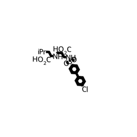 CC(C)C[C@H](NC(CCNS(=O)(=O)c1ccc(-c2ccc(Cl)cc2)cc1)C(=O)O)C(=O)O